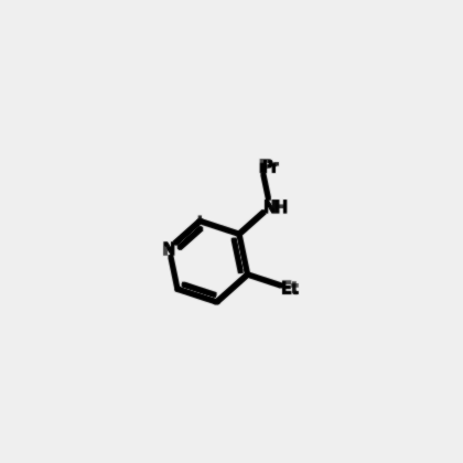 CCc1ccn[c]c1NC(C)C